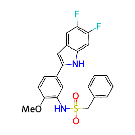 COc1ccc(-c2cc3cc(F)c(F)cc3[nH]2)cc1NS(=O)(=O)Cc1ccccc1